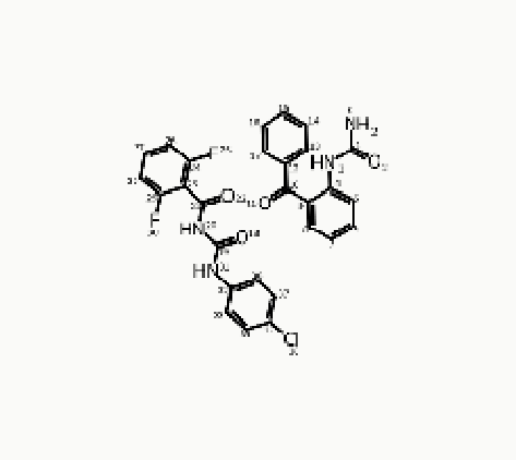 NC(=O)Nc1ccccc1C(=O)c1ccccc1.O=C(NC(=O)c1c(F)cccc1F)Nc1ccc(Cl)cc1